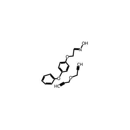 C#CCOCC#C.ON=CCOc1ccc(Oc2ccccc2)cc1